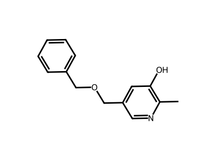 Cc1ncc(COCc2ccccc2)cc1O